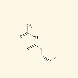 C/C=C\CC(=O)NC(N)=O